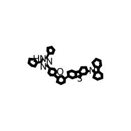 c1ccc(C2=NC(c3ccc4c(c3)oc3c(-c5ccc6c(c5)sc5cc(-n7c8ccccc8c8ccccc87)ccc56)cccc34)=NC(c3ccccc3)N2)cc1